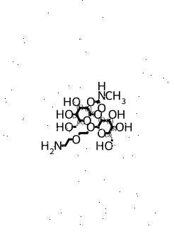 CNC(=O)O[C@@H]1[C@@H](O[C@@H]2C(OCCOCCN)O[C@@H](CO)[C@@H](O)[C@@H]2O)O[C@H](CO)[C@@H](O)[C@@H]1O